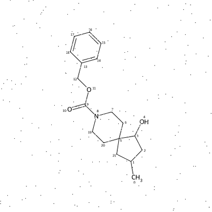 CC1CC(O)C2(CCN(C(=O)OCc3ccccc3)CC2)C1